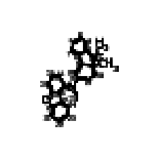 CC1(C)c2ccccc2-c2cc(N(I)c3cccc4oc5ccccc5c34)ccc21